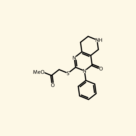 COC(=O)CSc1nc2c(c(=O)n1-c1ccccc1)CNCC2